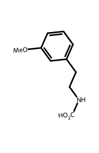 COc1cccc(CCNC(=O)O)c1